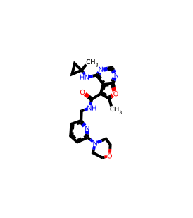 Cc1oc2ncnc(NC3(C)CC3)c2c1C(=O)NCc1cccc(N2CCOCC2)n1